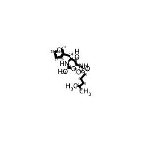 CC(C)CCCS(=O)(=O)NC[C@@H](O)[C@H](Cc1ccccc1)NC(=O)O